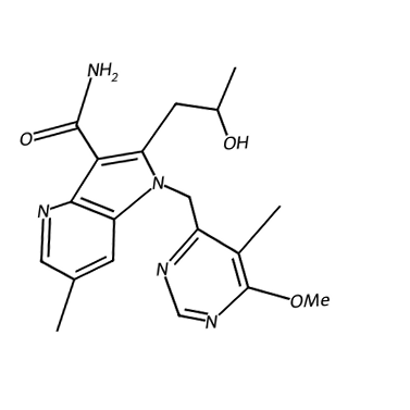 COc1ncnc(Cn2c(CC(C)O)c(C(N)=O)c3ncc(C)cc32)c1C